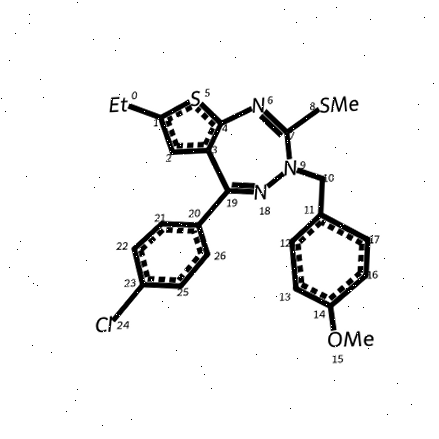 CCc1cc2c(s1)N=C(SC)N(Cc1ccc(OC)cc1)N=C2c1ccc(Cl)cc1